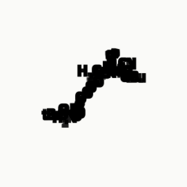 CN1C[C@H](OCCOCCOCCOc2ccc3c(c2)CN(C(CCC(=O)OC(C)(C)C)C(N)=O)C3=O)C[C@H]1COc1nc2c(c(N3CCN(C(=O)OC(C)(C)C)[C@@H](CC#N)C3)n1)CCN(c1cccc3ccccc13)C2